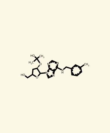 Cc1cccc(CNc2ncnc3c2ncn3C2OC(CO)C[C@H]2OC(C)(C)O)c1